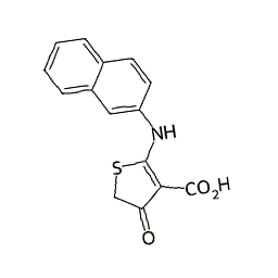 O=C(O)C1=C(Nc2ccc3ccccc3c2)SCC1=O